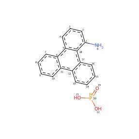 Nc1cccc2c3ccccc3c3ccccc3c12.O=[PH](O)O